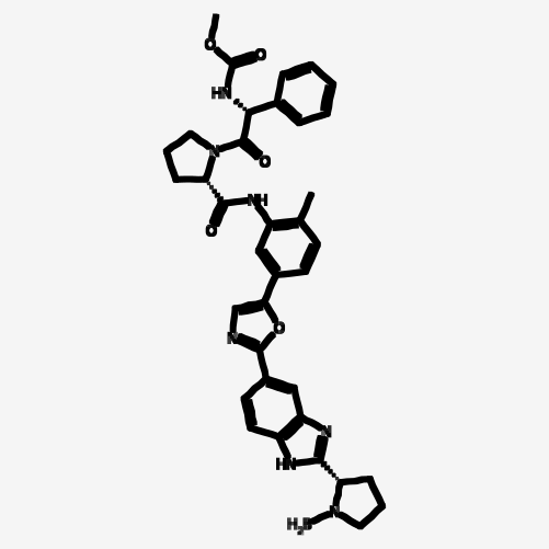 BN1CCC[C@H]1c1nc2cc(-c3ncc(-c4ccc(C)c(NC(=O)[C@@H]5CCCN5C(=O)[C@H](NC(=O)OC)c5ccccc5)c4)o3)ccc2[nH]1